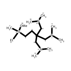 CC[Si](C)(CCC(CN(C)C)(CN(C)C)CN(C)C)OC